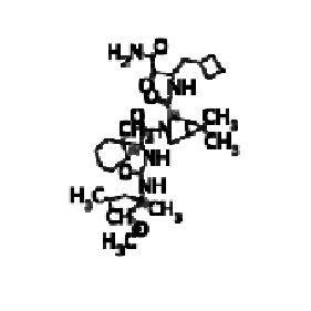 COC[C@@](C)(CC(C)C)NC(=O)N[C@H](C(=O)N1CC2C([C@H]1C(=O)NC(CC1CCC1)C(=O)C(N)=O)C2(C)C)C1(C)CCCCC1